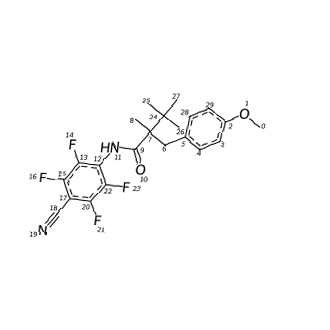 COc1ccc(CC(C)(C(=O)Nc2c(F)c(F)c(C#N)c(F)c2F)C(C)(C)C)cc1